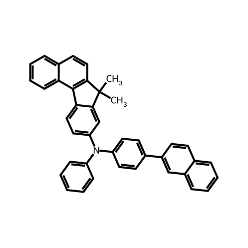 CC1(C)c2cc(N(c3ccccc3)c3ccc(-c4ccc5ccccc5c4)cc3)ccc2-c2c1ccc1ccccc21